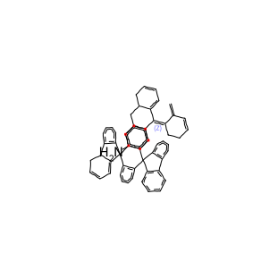 C=C1C=CCC/C1=C(/C1=CC=CCC1Cc1ccc2c(c1)C1(C3=CC=CCC3c3ccccc31)c1ccccc1C21c2ccccc2-c2ccccc21)c1ccc(N)cc1